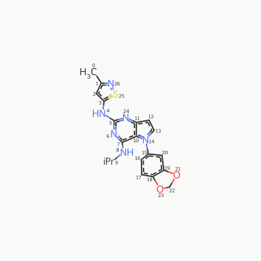 Cc1cc(Nc2nc(NC(C)C)c3c(ccn3-c3ccc4c(c3)OCO4)n2)sn1